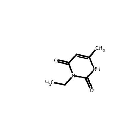 CCn1c(=O)cc(C)[nH]c1=O